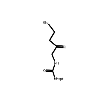 CCCCCCCC(=O)NCC(=O)CCC(C)(C)C